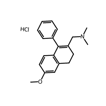 COc1ccc2c(c1)CCC(CN(C)C)=C2c1ccccc1.Cl